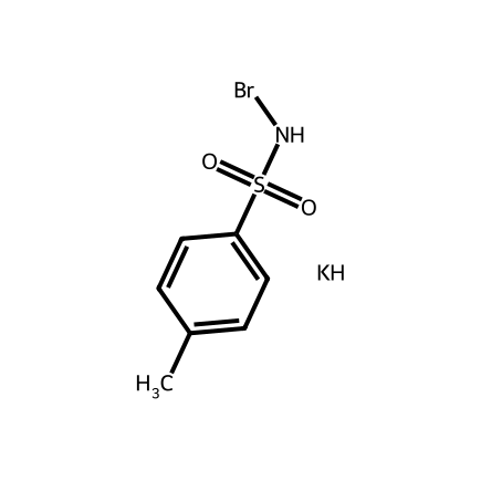 Cc1ccc(S(=O)(=O)NBr)cc1.[KH]